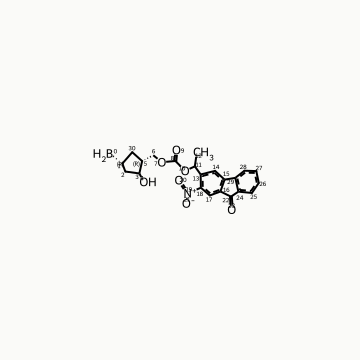 B[C@H]1CC(O)[C@@H](COC(=O)OC(C)c2cc3c(cc2[N+](=O)[O-])C(=O)c2ccccc2-3)C1